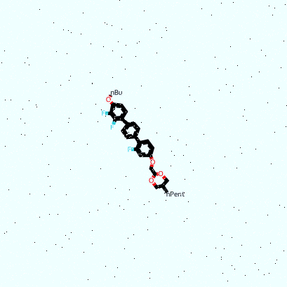 CCCCCC1COC(COc2ccc(-c3ccc(-c4ccc(OCCCC)c(F)c4F)cc3)c(F)c2)OC1